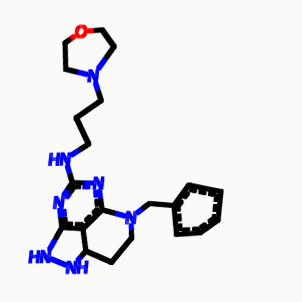 c1ccc(CN2CCC3NNc4nc(NCCCN5CCOCC5)nc2c43)cc1